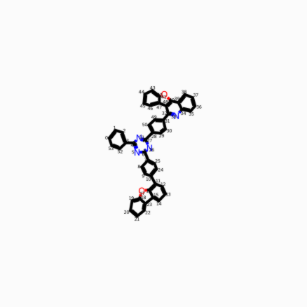 c1ccc(-c2nc(-c3ccc(-c4cccc5c4oc4ccccc45)cc3)nc(-c3ccc(-c4nc5ccccc5c5oc6ccccc6c45)cc3)n2)cc1